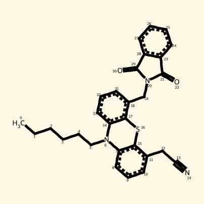 CCCCCCN1c2cccc(CC#N)c2Sc2c(CN3C(=O)c4ccccc4C3=O)cccc21